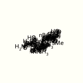 CCCC[C@@H](C(=O)N(C)CC(=O)NC(CC(=O)O)C(=O)N[C@H](C(=O)N(C)[C@@H](Cc1ccccc1)C(=O)NCC(=O)N(C)CC(=O)N[C@@](C=O)(CN[C@@H](Cc1ccc(O)cc1)C(=O)N[C@@H](C)C(=O)NCC(=O)NCC(N)=O)Cc1c[nH]c2ccccc12)C(C)C)N(C)C(=O)[C@H](C)N(C)C(=O)[C@H](Cc1ccc(OP(=O)(O)O)cc1)NC(=O)CSC